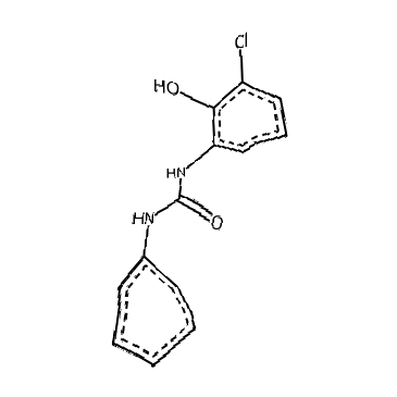 O=C(Nc1ccccc1)Nc1cccc(Cl)c1O